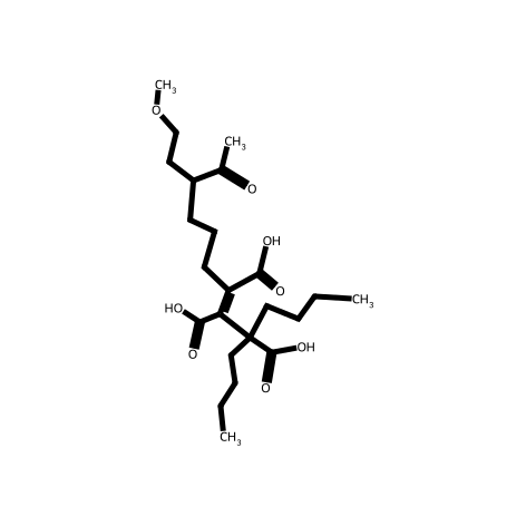 CCCCC(CCCC)(C(=O)O)C(C(=O)O)=C(CCCC(CCOC)C(C)=O)C(=O)O